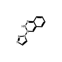 C1=c2ccccc2=NNN1n1ccnn1